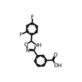 O=C(O)c1cccc(C2=NOC(c3ccc(F)cc3F)N2)c1